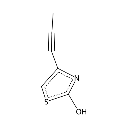 CC#Cc1csc(O)n1